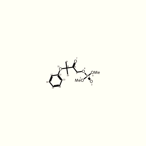 COP(=O)(OC)OCC(=O)C(C)(C)Oc1ccccc1